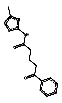 Cc1cnc(NC(=O)CCCC(=O)c2ccccc2)s1